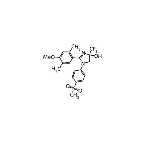 COc1cc(C)c(C2=NC(O)(C(F)(F)F)CN2c2ccc(S(C)(=O)=O)cc2)cc1C